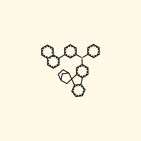 c1ccc(N(c2cccc(-c3cccc4ccccc34)c2)c2ccc3c(c2)C2(CC4CCC2C4)c2ccccc2-3)cc1